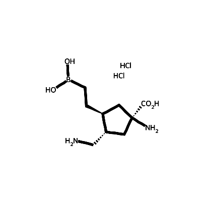 Cl.Cl.NC[C@H]1C[C@@](N)(C(=O)O)C[C@@H]1CCB(O)O